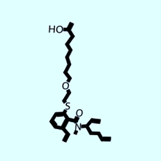 C=CCCC(C=C)N(C)C(=O)c1c(C=C)cccc1SCCOCCCCCCCC(=C)O